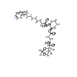 CCCCC/C=C\C/C=C\CCCCCCCC(=O)N[C@H]1CCCC[C@@H]1OC(=O)CCNC(=O)C1OC(C)(C)OCC1(C)C